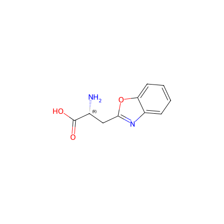 N[C@H](Cc1nc2ccccc2o1)C(=O)O